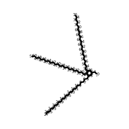 [CH2]Cc1cc(CCCCCCCCCCCCCCCCCCCCCCC)c(CCCCCCCCCCCCCCCCCCCCCCC)c(CCCCCCCCCCCCCCCCCCCCCCC)c1